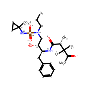 COC(=O)C(C)(C)[C@@H](C)C(=O)N[C@@H](Cc1ccccc1)[C@H](O)CN(CCC(C)C)S(=O)(=O)NC1(C(=O)O)CC1